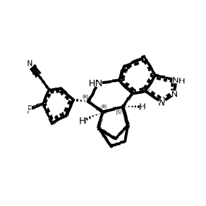 N#Cc1cc([C@@H]2Nc3ccc4[nH]nnc4c3[C@H]3C4CCC(C4)[C@@H]23)ccc1F